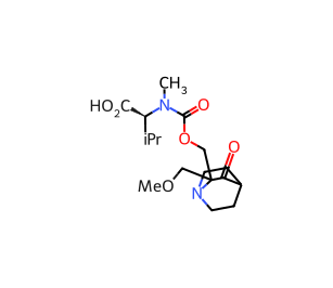 COCC1(COC(=O)N(C)[C@H](C(=O)O)C(C)C)C(=O)C2CCN1CC2